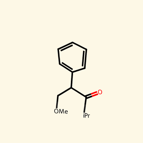 COCC(C(=O)C(C)C)c1ccccc1